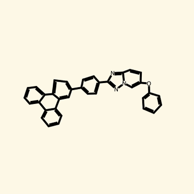 c1ccc(Oc2ccc3nc(-c4ccc(-c5ccc6c7ccccc7c7ccccc7c6c5)cc4)nn3c2)cc1